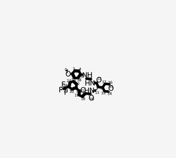 COc1ccc(NCCNC(=O)[C@@H](CNC(=O)c2ccc(-c3cccc(C(F)(F)F)c3)o2)C2CCOCC2)cc1